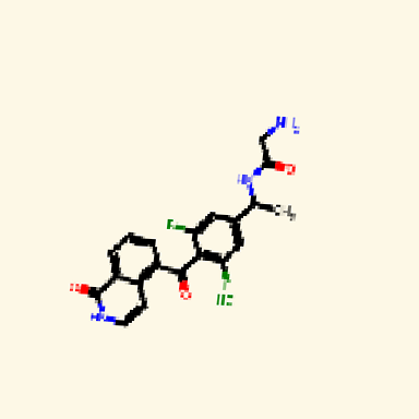 CC(NC(=O)CN)c1cc(F)c(C(=O)c2cccc3c(=O)[nH]ccc23)c(F)c1.Cl